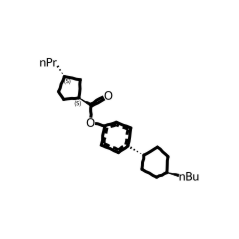 CCCC[C@H]1CC[C@H](c2ccc(OC(=O)[C@H]3CC[C@H](CCC)C3)cc2)CC1